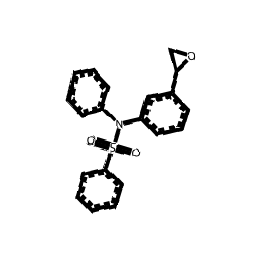 O=S(=O)(c1ccccc1)N(c1ccccc1)c1cccc(C2CO2)c1